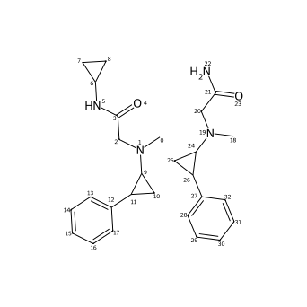 CN(CC(=O)NC1CC1)C1CC1c1ccccc1.CN(CC(N)=O)C1CC1c1ccccc1